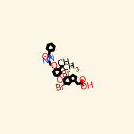 CC(C)c1cc(Oc2c(Br)cc3c(c2Br)CCC3CC(=O)O)ccc1OCc1noc(-c2ccccc2)n1